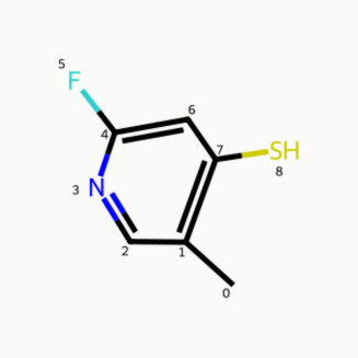 Cc1cnc(F)cc1S